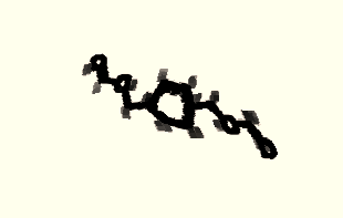 O=COCc1ccc(COC=O)cc1